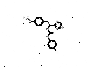 COc1ccc(C[C@H](NC(=O)Nc2ccc(Cl)cc2)c2nc[nH]n2)cc1